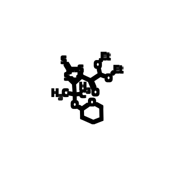 CCOC(OCC)C(=O)c1sc(=S)sc1C(C)(C)OC1CCCCO1